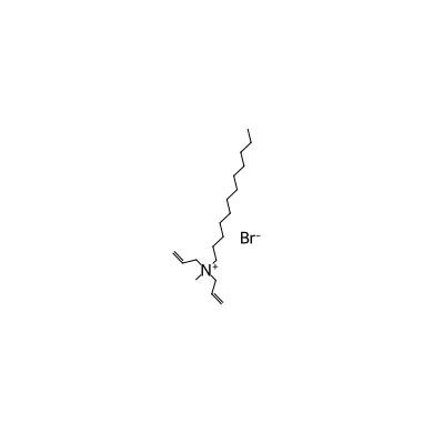 C=CC[N+](C)(CC=C)CCCCCCCCCCCC.[Br-]